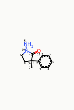 C[C@@]1(c2ccccc2)CCN(N)C1=O